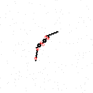 CCCCCCCCC1COC(c2ccc(C(=O)Oc3ccc(C(C)OCCCCCCOCC)cc3)cc2)OC1